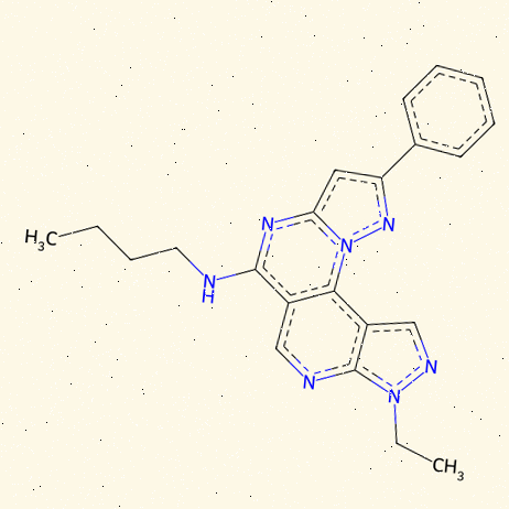 CCCCNc1nc2cc(-c3ccccc3)nn2c2c1cnc1c2cnn1CC